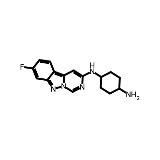 NC1CCC(Nc2cc3c4ccc(F)cc4nn3cn2)CC1